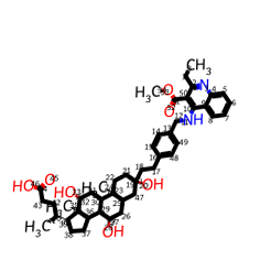 CCc1nc2ccccc2c(NCc2ccc(CC[C@@]3(O)CC[C@@]4(C)C(C[C@@H](O)C5C4C[C@H](O)[C@@]4(C)C5CC[C@@H]4C(C)CCC(=O)O)C3)cc2)c1C(=O)OC